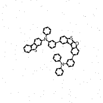 c1ccc(N(c2ccccc2)c2cccc(-c3ccc4oc5sc6ccc(-c7cccc(N(c8ccccc8)c8ccc9c(c8)sc8ccccc89)c7)cc6c5c4c3)c2)cc1